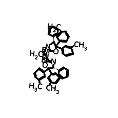 [CH2]=[Ni]([Br])([Br])([C]1=N[C@H](c2ccccc2)C(c2cccc(C)c2)(c2cccc(C)c2)O1)[C]1=N[C@H](c2ccccc2)C(c2cccc(C)c2)(c2cccc(C)c2)O1